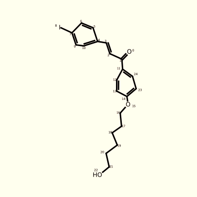 O=C(C=Cc1ccc(I)cc1)c1ccc(OCCCCCCO)cc1